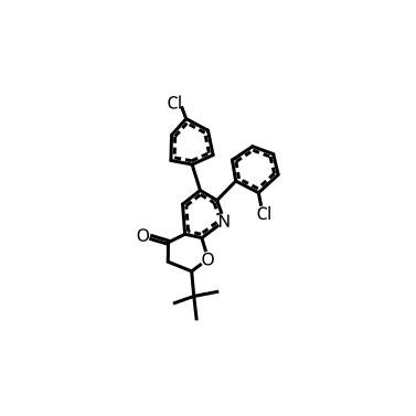 CC(C)(C)C1CC(=O)c2cc(-c3ccc(Cl)cc3)c(-c3ccccc3Cl)nc2O1